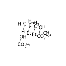 C.CCC.CCC.CCC.O=C(O)O.O=C(O)O